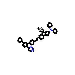 CCC1(CC)c2cc(/C=C/c3ccc(-c4cc(-c5ccccc5)ccc4-c4ccncn4)cc3)ccc2-c2ccc(N(c3ccccc3)c3ccccc3)cc21